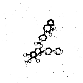 O=C(O[C@H](Cc1cc(Cl)c(O)c(Cl)c1)C(=O)N1CCC(N2CCOCC2)CC1)N1CCC(N2CCc3ccccc3NC2=O)CC1